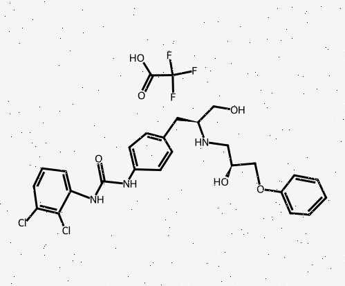 O=C(Nc1ccc(C[C@@H](CO)NC[C@H](O)COc2ccccc2)cc1)Nc1cccc(Cl)c1Cl.O=C(O)C(F)(F)F